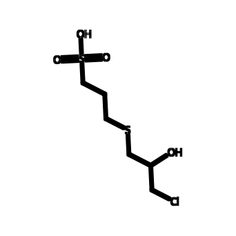 O=S(=O)(O)CCCSCC(O)CCl